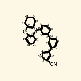 N#Cc1cncc(-c2cccc(-c3cccc(N4C5=C(C=CCC5)OC5=C4CCCC5)c3)c2)c1